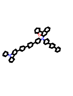 c1ccc(-c2ccc(-c3ccc(N(c4ccc(-c5ccc(-c6ccc(-c7ccc8c(c7)c7ccccc7n8-c7ccccc7)cc6)cc5)cc4)c4cc5ccccc5c5c4oc4ccccc45)cc3)cc2)cc1